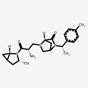 Cc1ccc([C@H](C)N2C(=O)[C@@H]3CC2CN3C[C@H](N)C(=O)N2[C@H](C#N)CC3C[C@@H]32)cc1